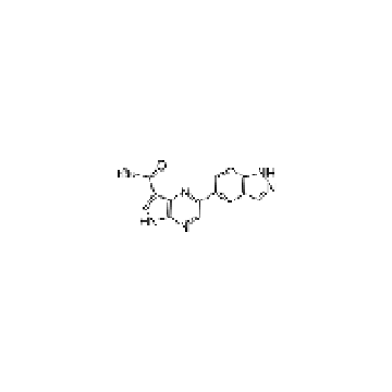 CC(C)(C)C(=O)c1c[nH]c2ncc(-c3ccc4[nH]ncc4c3)nc12